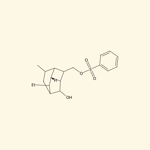 CCC1C2CC(C)C3C(COS(=O)(=O)c4ccccc4)C(C2O)[C@H]13